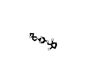 Clc1cccc(Cl)c1COc1cnc(N2CCC3(CCO3)C2)nc1